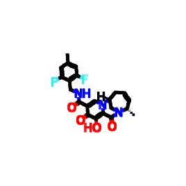 Cc1cc(F)c(CNC(=O)c2cn3c(c(O)c2=O)C(=O)N2C[C@@H]3CC=C[C@@H]2C)c(F)c1